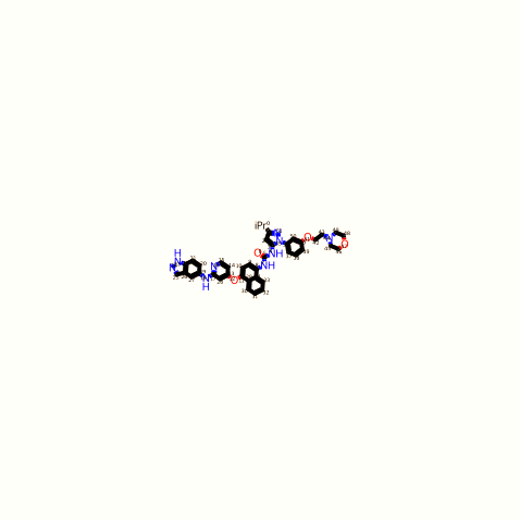 CC(C)c1cc(NC(=O)Nc2ccc(Oc3ccnc(Nc4ccc5[nH]ncc5c4)c3)c3ccccc23)n(-c2cccc(OCCN3CCOCC3)c2)n1